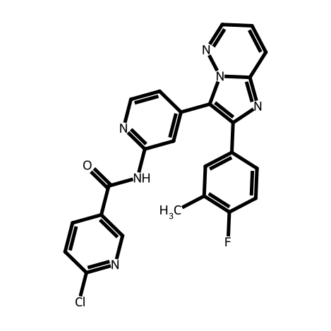 Cc1cc(-c2nc3cccnn3c2-c2ccnc(NC(=O)c3ccc(Cl)nc3)c2)ccc1F